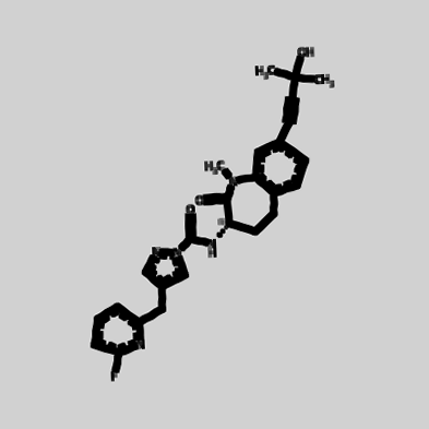 CN1C(=O)[C@@H](NC(=O)n2cc(Cc3cccc(F)n3)cn2)CCc2ccc(C#CC(C)(C)O)cc21